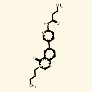 CCCCn1cnc2ccc(-c3ccc(NC(=O)CCC)nc3)cc2c1=O